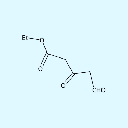 CCOC(=O)CC(=O)CC=O